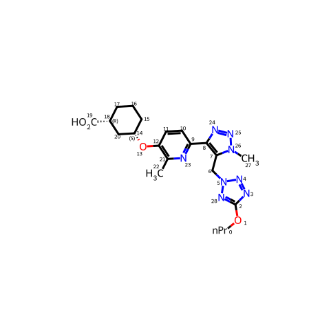 CCCOc1nnn(Cc2c(-c3ccc(O[C@H]4CCC[C@@H](C(=O)O)C4)c(C)n3)nnn2C)n1